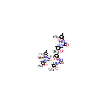 Cc1cc(CNC2COCC2NCc2cc(C)cc(C(C)(C)C)c2[O-])c([O-])c(C(C)(C)C)c1.Cc1cc(CNC2COCC2NCc2cc(C)cc(C(C)(C)C)c2[O-])c([O-])c(C(C)(C)C)c1.Cc1cc(CNC2COCC2NCc2cc(C)cc(C(C)(C)C)c2[O-])c([O-])c(C(C)(C)C)c1.[Mn+3].[Mn+3]